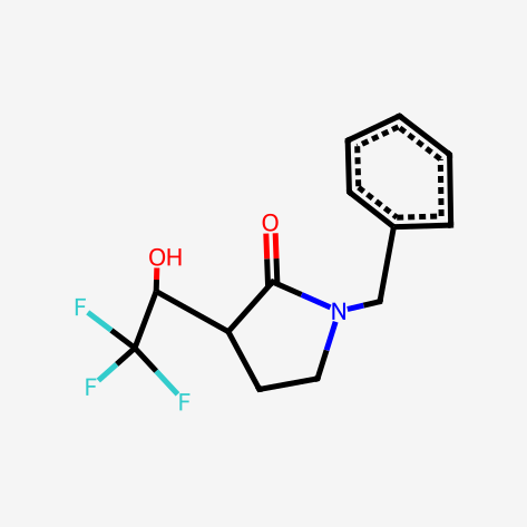 O=C1C(C(O)C(F)(F)F)CCN1Cc1ccccc1